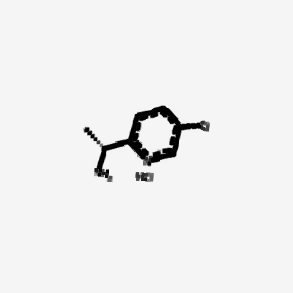 C[C@@H](N)c1ccc(Cl)cn1.Cl